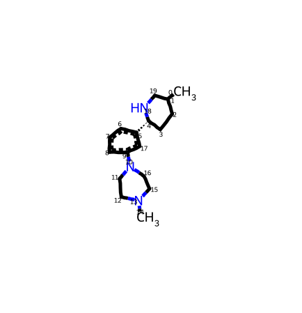 CC1CC[C@H](c2cccc(N3CCN(C)CC3)c2)NC1